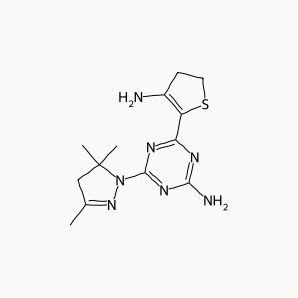 CC1=NN(c2nc(N)nc(C3=C(N)CCS3)n2)C(C)(C)C1